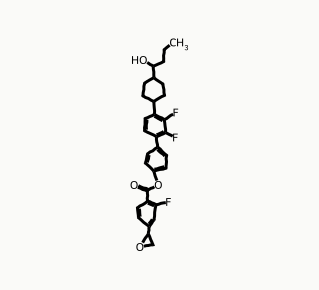 CCCC(O)C1CCC(c2ccc(-c3ccc(OC(=O)c4ccc(C5CO5)cc4F)cc3)c(F)c2F)CC1